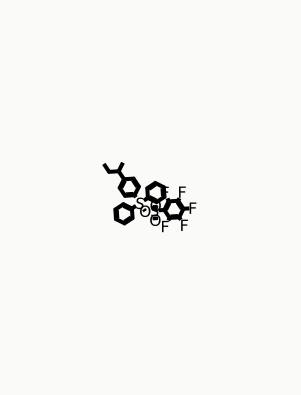 CCC(C)c1ccc(S(OS(=O)(=O)c2c(F)c(F)c(F)c(F)c2F)(c2ccccc2)c2ccccc2)cc1